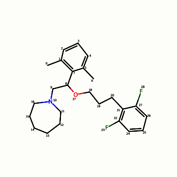 Cc1cccc(C)c1C(CN1CCCCCC1)OCCCc1c(F)cccc1F